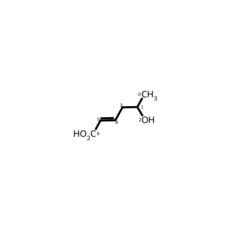 CC(O)C/C=C/C(=O)O